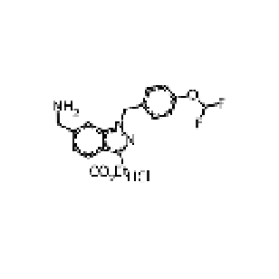 CCOC(=O)c1nn(Cc2ccc(OC(F)F)cc2)c2cc(CN)ccc12.Cl